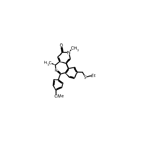 CCSCc1ccc2c(c1)-c1cn(C)c(=O)cc1[C@H](C)N=C2c1ccc(OC)cc1